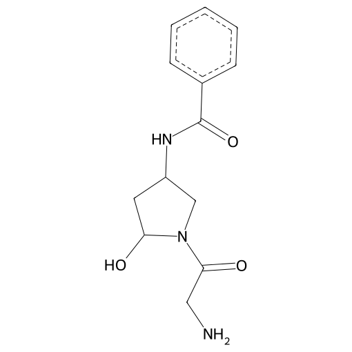 NCC(=O)N1CC(NC(=O)c2ccccc2)CC1O